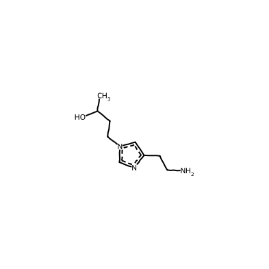 CC(O)CCn1cnc(CCN)c1